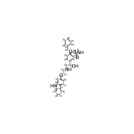 CNS(=O)(=O)c1cc(C(O)CNCCOc2ccc3c(c2)[nH]c2ccccc23)ccc1OCc1ccccc1